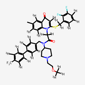 [2H]c1c([2H])c(F)c(F)c(C([2H])([2H])Sc2c([2H])c(=O)c3c([2H])c(C)c([2H])c([2H])c3n2C([2H])([2H])C(=O)N(Cc2c([2H])c([2H])c(-c3c([2H])c([2H])c(C(F)(F)F)c([2H])c3[2H])c([2H])c2[2H])C2CCN(CCOC([2H])([2H])[2H])CC2)c1[2H]